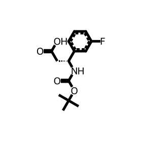 CC(C)(C)OC(=O)N[C@H](CC(=O)O)c1cccc(F)c1